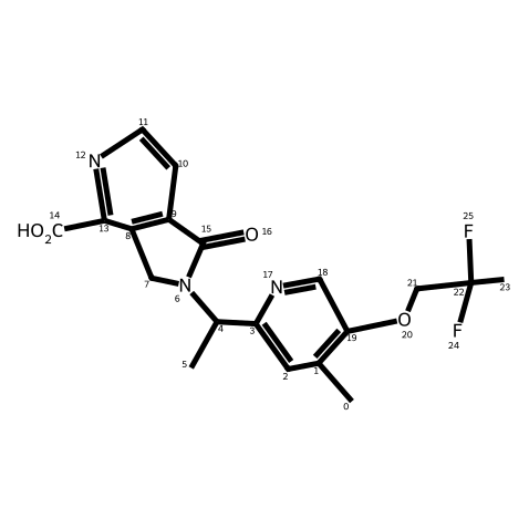 Cc1cc(C(C)N2Cc3c(ccnc3C(=O)O)C2=O)ncc1OCC(C)(F)F